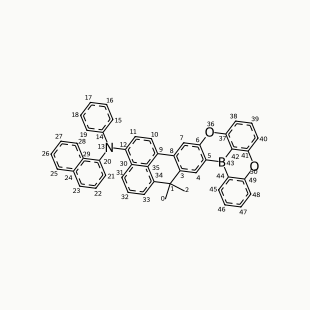 CC1(C)c2cc3c(cc2-c2ccc(N(c4ccccc4)c4cccc5ccccc45)c4cccc1c24)Oc1cccc2c1B3c1ccccc1O2